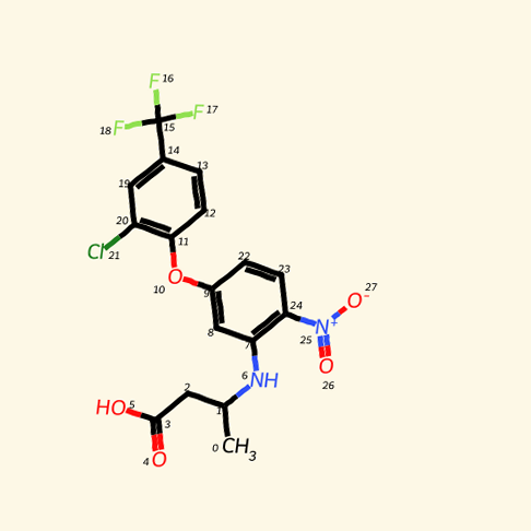 CC(CC(=O)O)Nc1cc(Oc2ccc(C(F)(F)F)cc2Cl)ccc1[N+](=O)[O-]